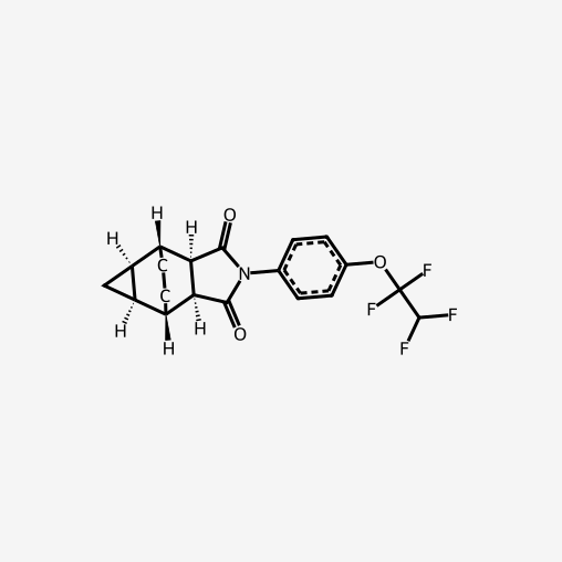 O=C1[C@@H]2[C@@H]3CC[C@@H]([C@H]4C[C@H]43)[C@@H]2C(=O)N1c1ccc(OC(F)(F)C(F)F)cc1